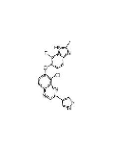 Cc1nc2ccc(Oc3ccc4ncc(C5=C[N]N=C5)nc4c3Cl)c(F)c2[nH]1